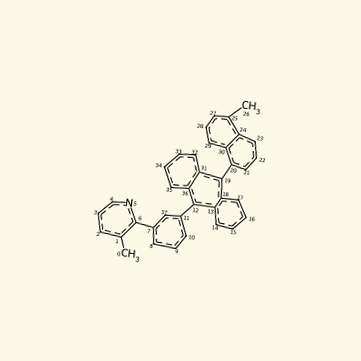 Cc1cccnc1-c1cccc(-c2c3ccccc3c(-c3cccc4c(C)cccc34)c3ccccc23)c1